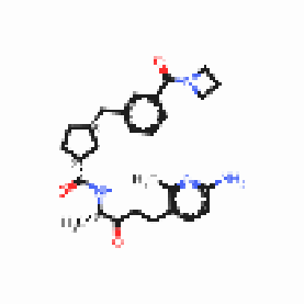 Cc1nc(N)ccc1CCC(=O)[C@H](C)NC(=O)[C@@H]1CC[C@@H](Cc2cccc(C(=O)N3CCC3)c2)C1